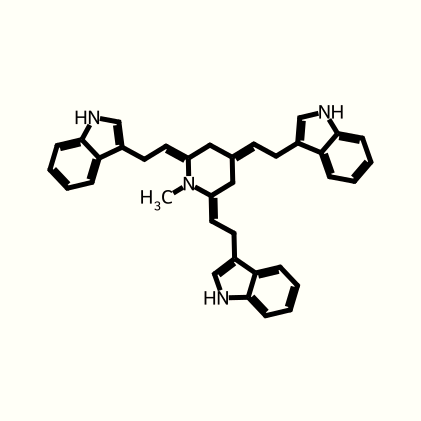 CN1C(=CCc2c[nH]c3ccccc23)CC(=CCc2c[nH]c3ccccc23)CC1=CCc1c[nH]c2ccccc12